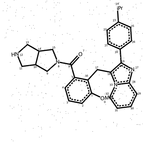 COc1cccc(C(=O)N2CC3CNCC3C2)c1Cc1c(-c2ccc(C(C)C)cc2)nc2ccccn12